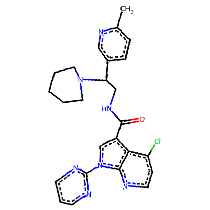 Cc1ccc(C(CNC(=O)c2cn(-c3ncccn3)c3nccc(Cl)c23)N2CCCCC2)cn1